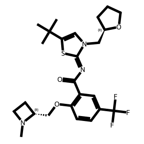 CN1CC[C@@H]1COc1ccc(C(F)(F)F)cc1C(=O)N=c1sc(C(C)(C)C)cn1C[C@H]1CCCO1